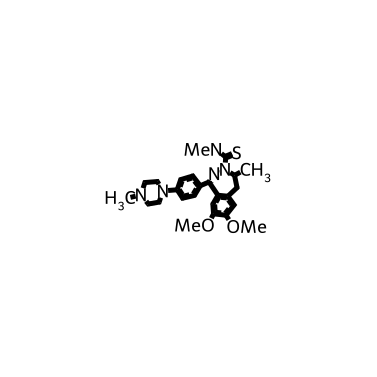 CNC(=S)N1N=C(c2ccc(N3CCN(C)CC3)cc2)c2cc(OC)c(OC)cc2CC1C